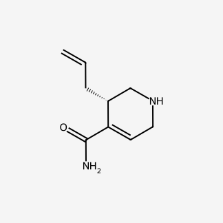 C=CC[C@@H]1CNCC=C1C(N)=O